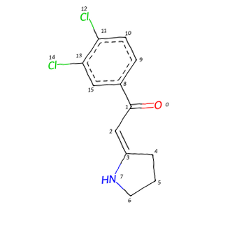 O=C(C=C1CCCN1)c1ccc(Cl)c(Cl)c1